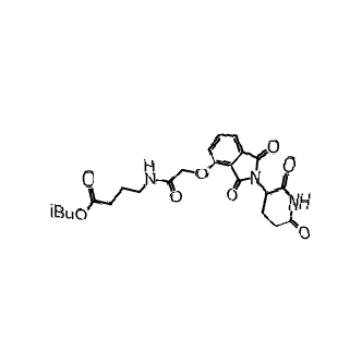 CC(C)COC(=O)CCCNC(=O)COc1cccc2c1C(=O)N(C1CCC(=O)NC1=O)C2=O